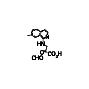 Cc1ccc2ccnc(NC[C@@H](OC=O)C(=O)O)c2c1